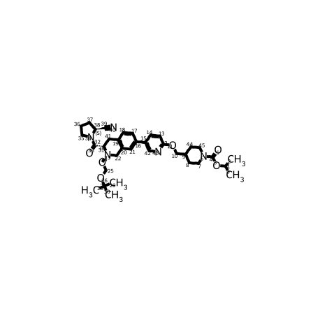 CC(C)OC(=O)N1CCC(COc2ccc(-c3ccc4c(c3)CN(OCOC(C)(C)C)[C@H](C(=O)N3CCC[C@H]3C#N)C4)cn2)CC1